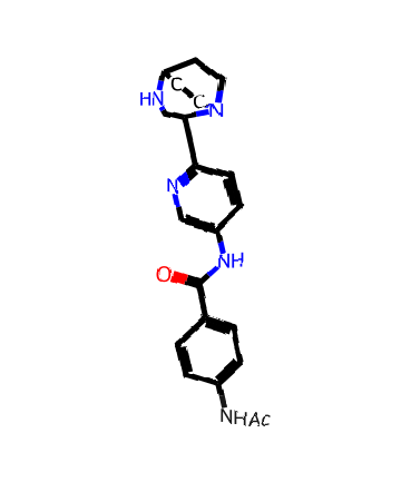 CC(=O)Nc1ccc(C(=O)Nc2ccc(C3CNC4CCN3CC4)nc2)cc1